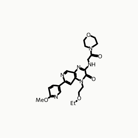 CCOCCn1c(=O)c(NCC(=O)N2CCOCC2)nc2cnc(-c3ccc(OC)nc3)cc21